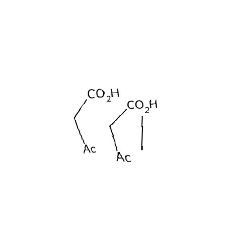 CC.CC(=O)CC(=O)O.CC(=O)CC(=O)O